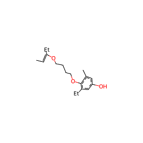 CC=C(CC)OCCCCOc1c(C)cc(O)cc1CC